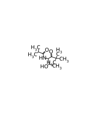 CC(C)C(=O)N[C@@H](C(=O)C(C)(C)C)C(C)O